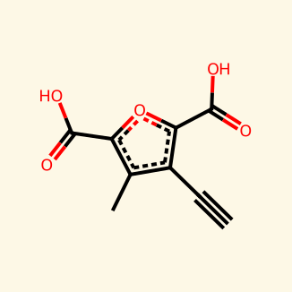 C#Cc1c(C(=O)O)oc(C(=O)O)c1C